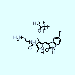 Cc1[nH]c(C=C2C(=O)Nc3ccc(F)cc32)c(C)c1C(=O)NCCN.O=C(O)C(F)(F)F